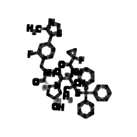 Cc1ncsc1-c1ccc(CNC(=O)[C@H]2C[C@@H](O)CN2C(=O)[C@@H](NC(=O)C2(F)CC2)C(C)(C)SC(c2ccccc2)(c2ccccc2)c2ccccc2)c(F)c1